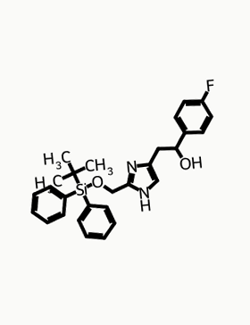 CC(C)(C)[Si](OCc1nc(CC(O)c2ccc(F)cc2)c[nH]1)(c1ccccc1)c1ccccc1